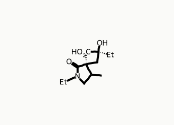 CCN1CC(C)[C@](C)(C[C@@](O)(CC)C(=O)O)C1=O